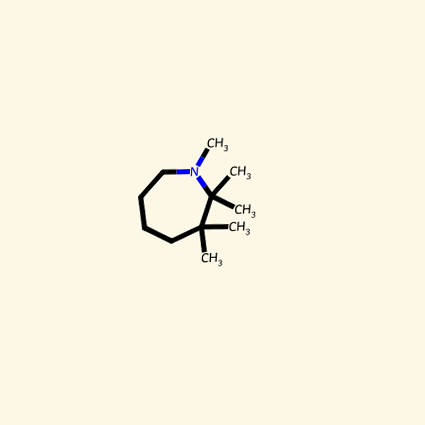 CN1CCCCC(C)(C)C1(C)C